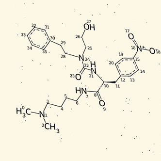 CN(C)CCCCNC(=O)[C@H](Cc1ccc([N+](=O)[O-])cc1)NC(=O)N(CCO)CCc1ccccc1